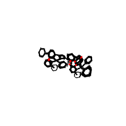 c1ccc(C2(c3ccccc3)c3ccccc3Oc3ccc(N(c4ccc5c(c4)C4(c6ccccc6O5)c5cc(C6CCCCC6)ccc5-c5ccc(C6CCCCC6)cc54)c4cccc5ccccc45)cc32)cc1